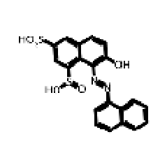 O=S(O)c1cc(S(=O)(=O)O)cc2ccc(O)c(/N=N/c3cccc4ccccc34)c12